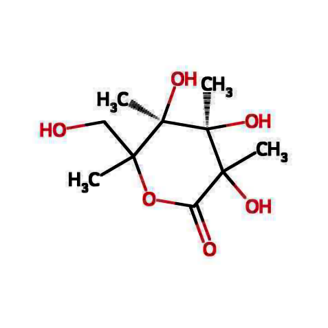 CC1(O)C(=O)OC(C)(CO)[C@@](C)(O)[C@@]1(C)O